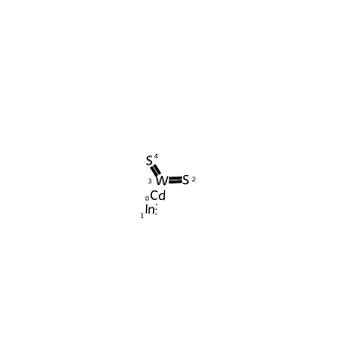 [Cd].[In].[S]=[W]=[S]